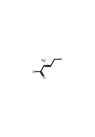 O=C([O-])/C=C/CF.[Ag+]